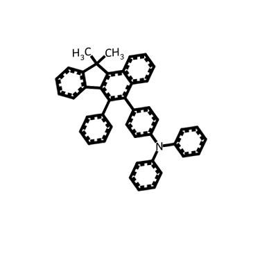 CC1(C)c2ccccc2-c2c(-c3ccccc3)c(-c3ccc(N(c4ccccc4)c4ccccc4)cc3)c3ccccc3c21